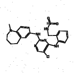 CN1CCCCc2cc(Nc3ncc(Cl)c(Nc4ccccc4CN[SH](=O)=O)n3)ccc21